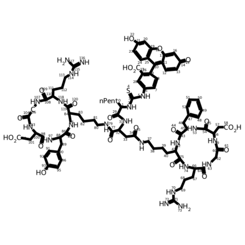 CCCCCC(NC(=S)Nc1ccc(-c2c3ccc(=O)cc-3oc3cc(O)ccc23)c(C(=O)O)c1)C(=O)NC(CC(=O)NCCCCC1NC(=O)C(Cc2ccccc2)NC(=O)C(CC(=O)O)NC(=O)CNC(=O)C(CCCNC(=N)N)NC1=O)C(=O)NCCCCC1NC(=O)C(Cc2ccc(O)cc2)NC(=O)C(CC(=O)O)NC(=O)CNC(=O)C(CCCNC(=N)N)NC1=O